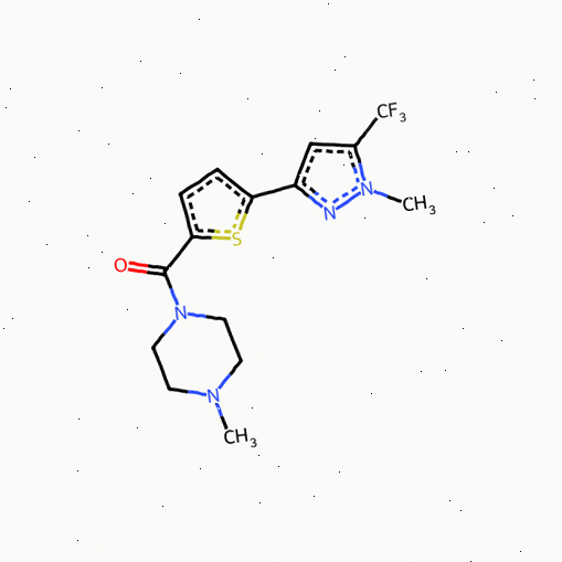 CN1CCN(C(=O)c2ccc(-c3cc(C(F)(F)F)n(C)n3)s2)CC1